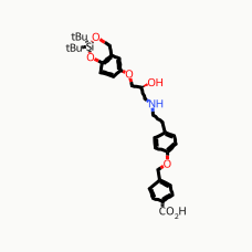 CC(C)(C)[Si]1(C(C)(C)C)OCc2cc(OC[C@@H](O)CNCCc3ccc(OCc4ccc(C(=O)O)cc4)cc3)ccc2O1